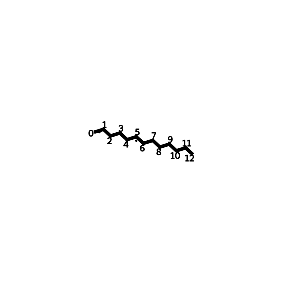 [CH2]CCCC[CH]CCCCCCC